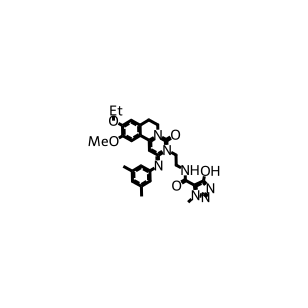 CCOc1cc2c(cc1OC)-c1c/c(=N\c3cc(C)cc(C)c3)n(CCNC(=O)c3c(O)nnn3C)c(=O)n1CC2